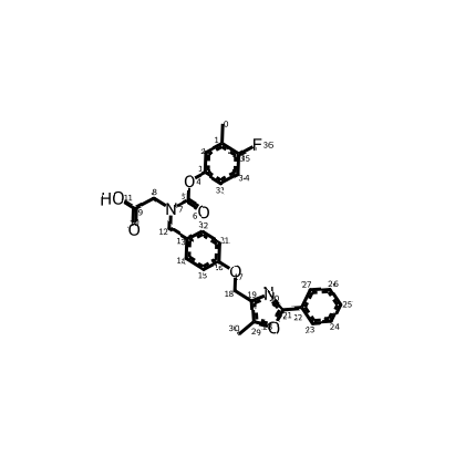 Cc1cc(OC(=O)N(CC(=O)O)Cc2ccc(OCc3nc(-c4ccccc4)oc3C)cc2)ccc1F